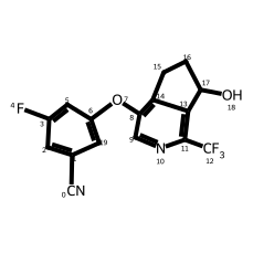 N#Cc1cc(F)cc(Oc2cnc(C(F)(F)F)c3c2CCC3O)c1